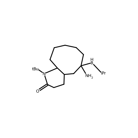 CC(C)BC1(N)CCCCCC2C(CCC(=O)N2C(C)(C)C)C1